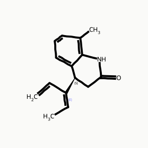 C=C/C(=C\C)[C@@H]1CC(=O)Nc2c(C)cccc21